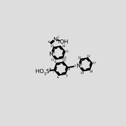 C=NO.Cc1ccc(S(=O)(=O)O)cc1.c1ccncc1.c1ccncc1